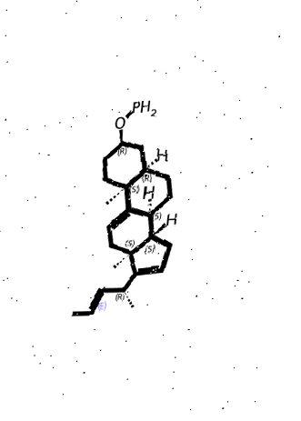 C/C=C/[C@@H](C)C1=CC[C@H]2[C@@H]3CC[C@@H]4C[C@H](OP)CC[C@]4(C)C3=CC[C@]12C